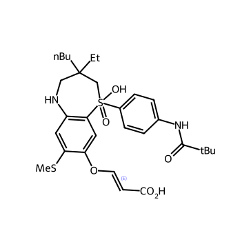 CCCCC1(CC)CNc2cc(SC)c(O/C=C/C(=O)O)cc2S(=O)(O)(c2ccc(NC(=O)C(C)(C)C)cc2)C1